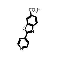 O=C(O)c1ccc2nc(-c3ccncc3)oc2c1